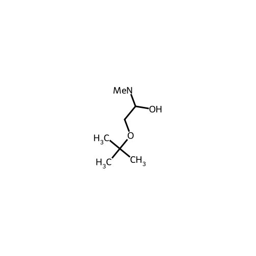 CNC(O)COC(C)(C)C